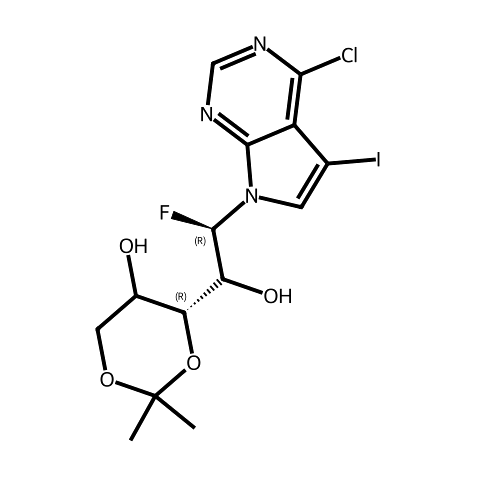 CC1(C)OCC(O)[C@H](C(O)[C@@H](F)n2cc(I)c3c(Cl)ncnc32)O1